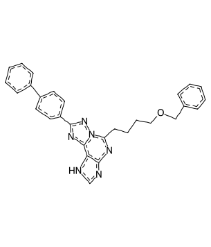 c1ccc(COCCCCc2nc3nc[nH]c3c3nc(-c4ccc(-c5ccccc5)cc4)nn23)cc1